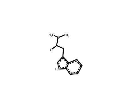 CN(C)C(F)Cc1c[nH]c2ccccc12